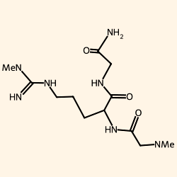 CNCC(=O)NC(CCCNC(=N)NC)C(=O)NCC(N)=O